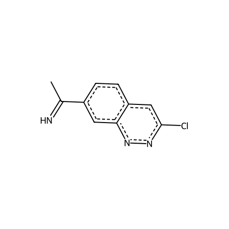 CC(=N)c1ccc2cc(Cl)nnc2c1